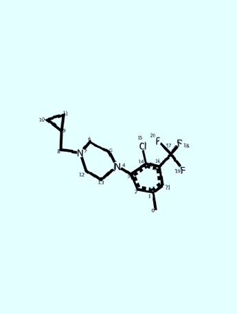 Cc1cc(N2CCN(CC3CC3)CC2)c(Cl)c(C(F)(F)F)c1